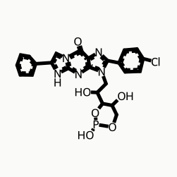 O=c1c2nc(-c3ccc(Cl)cc3)n(CC(O)C3OP(O)OCC3O)c2nc2[nH]c(-c3ccccc3)cn12